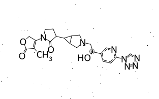 CC1=C(N2CCC(C3C4CN(C[C@H](O)c5ccc(-n6cnnn6)nc5)CC43)C2=O)COC1=O